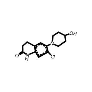 O=C1CCc2cc(N3CCC(O)CC3)c(Cl)cc2N1